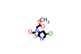 COC(=O)Cn1c(=O)sc2ncc(Cl)cc21